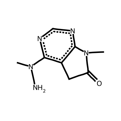 CN(N)c1ncnc2c1CC(=O)N2C